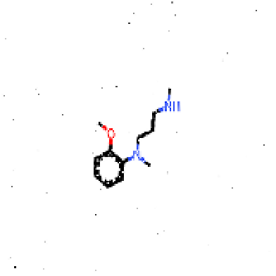 CNCCCN(C)c1ccccc1OC